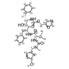 COc1nc(CN(C)C(=O)N[C@H](C(=O)N[C@@H](Cc2ccccc2)C[C@H](O)[C@H](Cc2ccccc2)NC(=O)OCc2cnco2)C(C)C)cs1